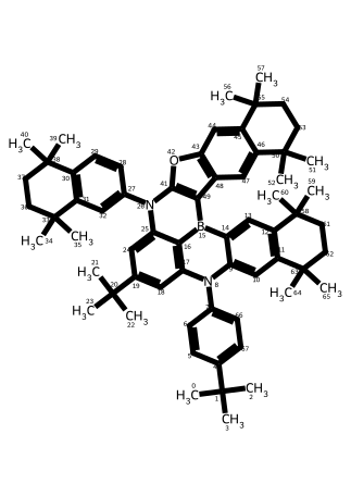 CC(C)(C)c1ccc(N2c3cc4c(cc3B3c5c2cc(C(C)(C)C)cc5N(c2ccc5c(c2)C(C)(C)CCC5(C)C)c2oc5cc6c(cc5c23)C(C)(C)CCC6(C)C)C(C)(C)CCC4(C)C)cc1